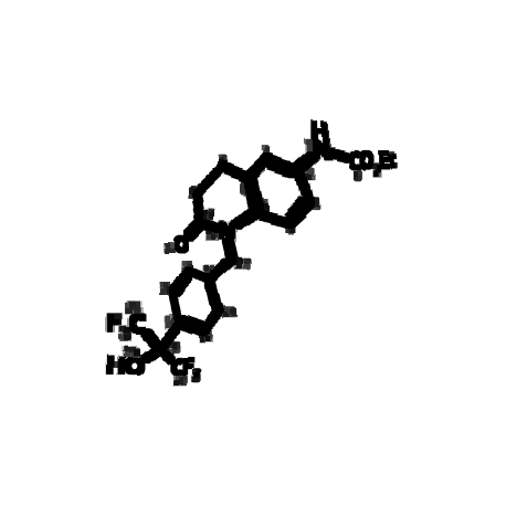 CCOC(=O)Nc1ccc2c(c1)CCC(=O)N2Cc1ccc(C(O)(C(F)(F)F)C(F)(F)F)cc1